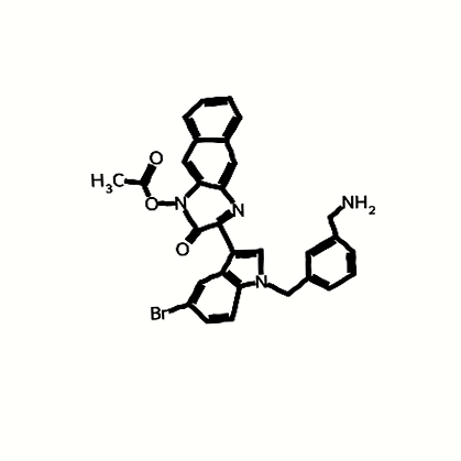 CC(=O)On1c(=O)c(-c2cn(Cc3cccc(CN)c3)c3ccc(Br)cc23)nc2cc3ccccc3cc21